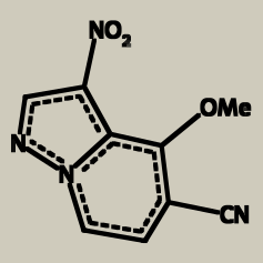 COc1c(C#N)ccn2ncc([N+](=O)[O-])c12